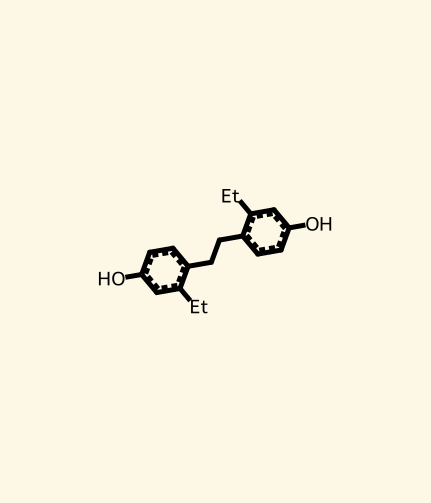 CCc1cc(O)ccc1CCc1ccc(O)cc1CC